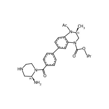 CC(=O)N1c2ccc(-c3ccc(C(=O)N4CCNC[C@@H]4N)cc3)cc2N(C(=O)OC(C)C)C[C@@H]1C